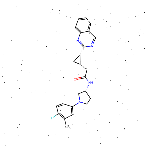 O=C(C[C@@H]1C[C@@H]1c1ncc2ccccc2n1)N[C@@H]1CCN(c2ccc(F)c(C(F)(F)F)c2)C1